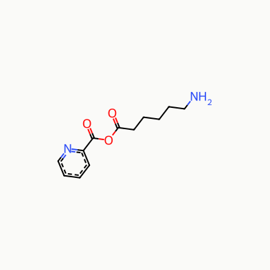 NCCCCCC(=O)OC(=O)c1ccccn1